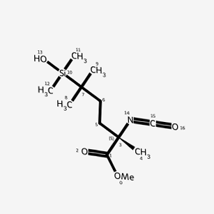 COC(=O)[C@](C)(CCC(C)(C)[Si](C)(C)O)N=C=O